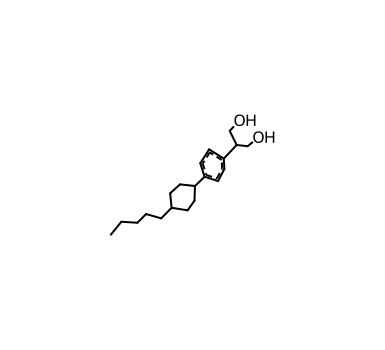 CCCCCC1CCC(c2ccc(C(CO)CO)cc2)CC1